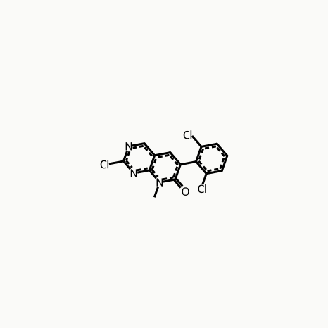 Cn1c(=O)c(-c2c(Cl)cccc2Cl)cc2cnc(Cl)nc21